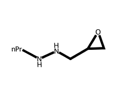 CCCNNCC1CO1